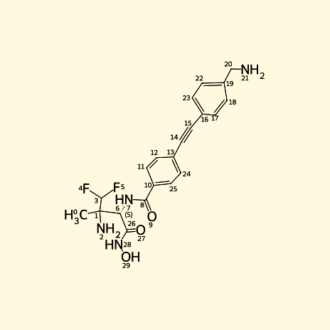 CC(N)(C(F)F)[C@H](NC(=O)c1ccc(C#Cc2ccc(CN)cc2)cc1)C(=O)NO